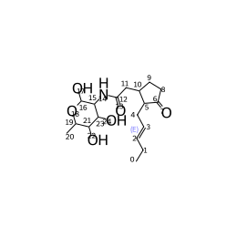 CC/C=C/CC1C(=O)CCC1CC(=O)NC1C(O)OC(C)C(O)C1O